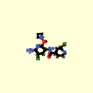 Nc1nc(ON2CCC2)c(NC(=O)c2ccnc(Cl)c2)cc1Cl